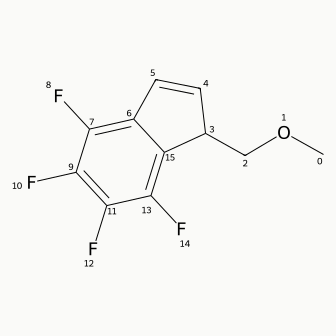 COCC1C=Cc2c(F)c(F)c(F)c(F)c21